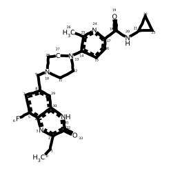 CCc1nc2c(F)cc(CN3CCN(c4ccc(C(=O)NC5CC5)nc4C)CC3)cc2[nH]c1=O